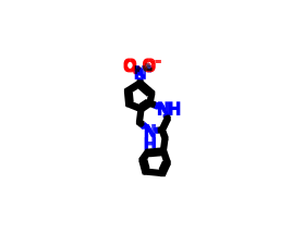 O=[N+]([O-])c1ccc2c(c1)NCC(Cc1ccccc1)NC2